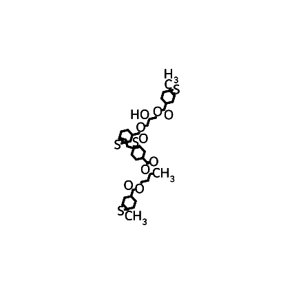 CC(CCOC(=O)C1CCC2(C)SC2C1)OC(=O)C1CCC2(CCC34CCC(C(=O)OCC(O)COC(=O)C5CCC6(C)SC6C5)CC3S4)SC2C1